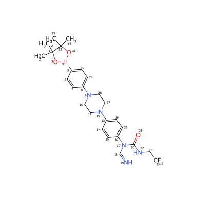 CC1(C)OB(c2ccc(N3CCN(c4ccc(N(C=N)C(=O)NCC(F)(F)F)cc4)CC3)cc2)OC1(C)C